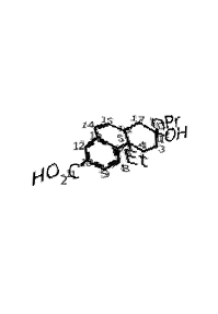 CCCC1(O)CCC2(CC)c3ccc(C(=O)O)cc3C=CC2C1